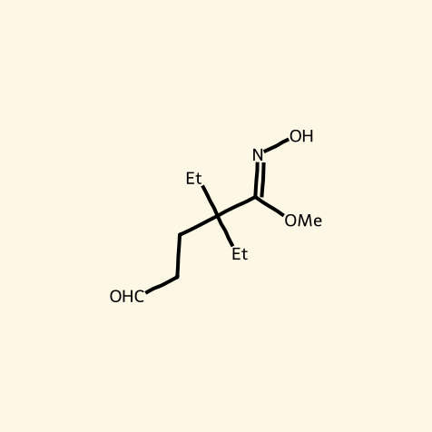 CCC(CC)(CCC=O)C(=NO)OC